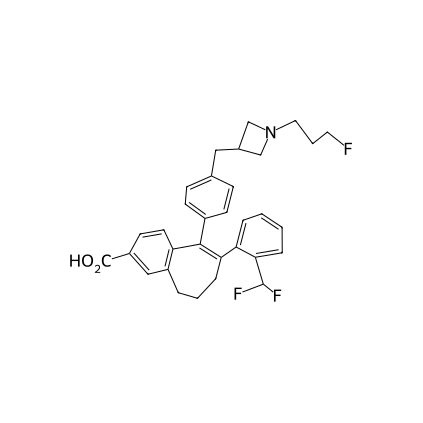 O=C(O)c1ccc2c(c1)CCCC(c1ccccc1C(F)F)=C2c1ccc(CC2CN(CCCF)C2)cc1